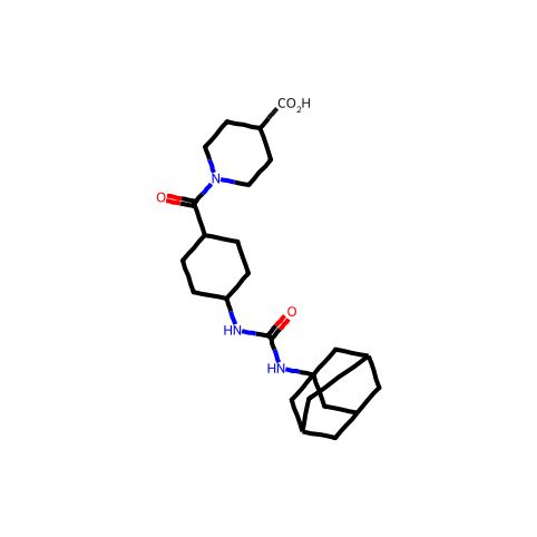 O=C(NC1CCC(C(=O)N2CCC(C(=O)O)CC2)CC1)NC12CC3CC(CC(C3)C1)C2